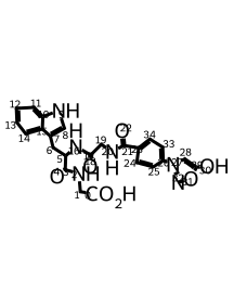 O=C(O)CNC(=O)C(Cc1c[nH]c2ccccc12)NC(=O)CNC(=O)c1ccc(-[n+]2cc(O)on2)cc1